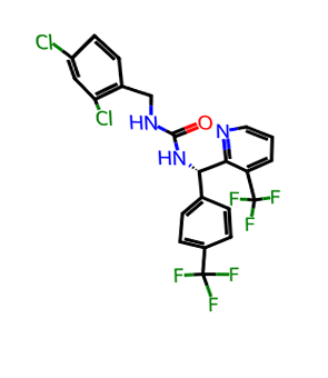 O=C(NCc1ccc(Cl)cc1Cl)N[C@@H](c1ccc(C(F)(F)F)cc1)c1ncccc1C(F)(F)F